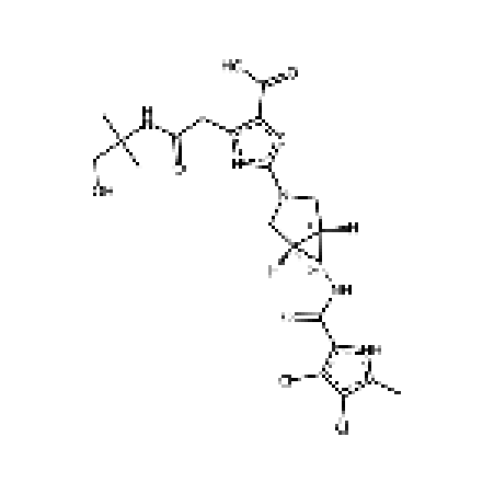 Cc1[nH]c(C(=O)N[C@@H]2[C@@H]3CN(c4nc(CC(=O)NC(C)(C)CO)c(C(=O)O)s4)C[C@@H]32)c(Cl)c1Cl